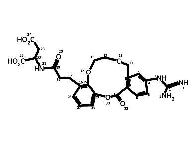 N=C(N)Nc1ccc2c(c1)CCCCOc1c(CCC(=O)NC(CC(=O)O)C(=O)O)cccc1OC2=O